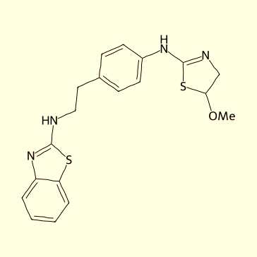 COC1CN=C(Nc2ccc(CCNc3nc4ccccc4s3)cc2)S1